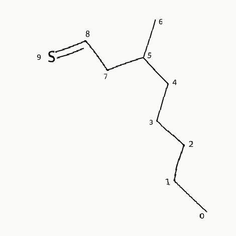 CCCCCC(C)CC=S